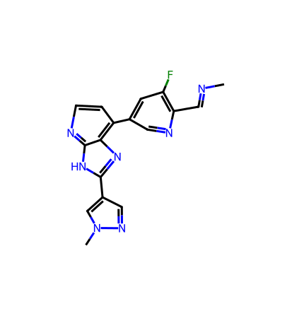 C/N=C/c1ncc(-c2ccnc3[nH]c(-c4cnn(C)c4)nc23)cc1F